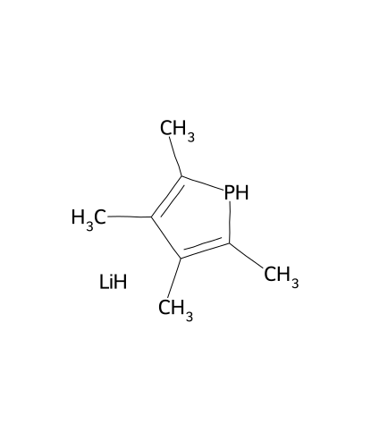 Cc1[pH]c(C)c(C)c1C.[LiH]